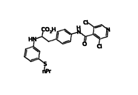 CCCSc1cccc(NC(Cc2ccc(NC(=O)c3c(Cl)cncc3Cl)cc2)C(=O)O)c1